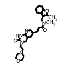 Cc1oc2ccccc2c1CN(C)C(=O)/C=C/c1cnc2c(c1)CN(CCN1CCOCC1)C(=O)N2